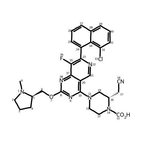 CN1CCC[C@@H]1COc1nc(N2CCN(C(=O)O)[C@@H](CC#N)C2)c2cnc(-c3cccc4cccc(Cl)c34)c(F)c2n1